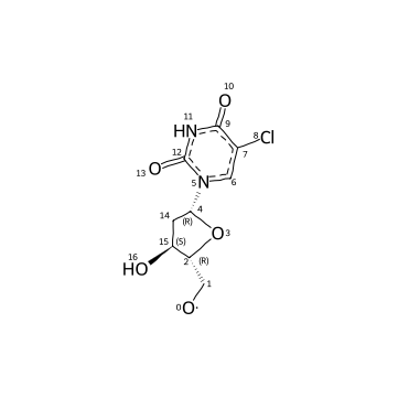 [O]C[C@H]1O[C@@H](n2cc(Cl)c(=O)[nH]c2=O)C[C@@H]1O